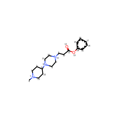 CN1CCC(N2CCN(CCC(=O)Oc3ccccc3)CC2)CC1